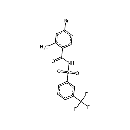 Cc1cc(Br)ccc1C(=O)NS(=O)(=O)c1cccc(C(F)(F)F)c1